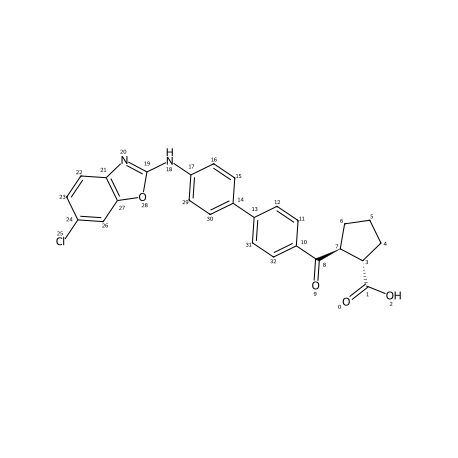 O=C(O)[C@H]1CCC[C@@H]1C(=O)c1ccc(-c2ccc(Nc3nc4ccc(Cl)cc4o3)cc2)cc1